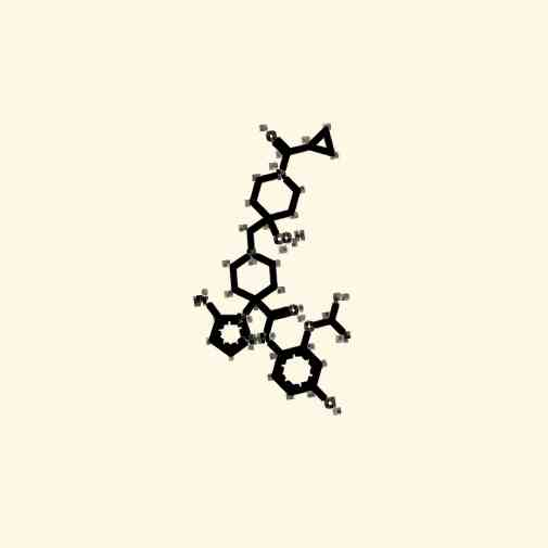 CC(C)c1ccnn1C1(C(=O)Nc2ccc(Cl)cc2OC(F)F)CCN(CC2(C(=O)O)CCN(C(=O)C3CC3)CC2)CC1